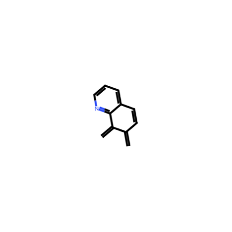 C=c1ccc2cccnc2c1=C